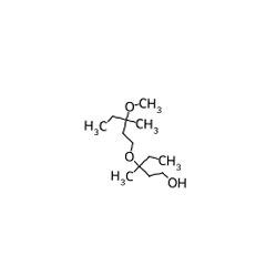 CCC(C)(CCOC(C)(CC)CCO)OC